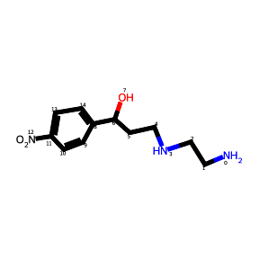 NCCNCCC(O)c1ccc([N+](=O)[O-])cc1